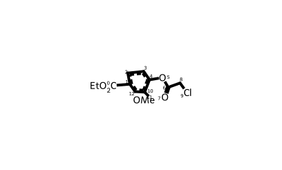 CCOC(=O)c1ccc(OC(=O)CCl)c(OC)c1